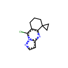 Clc1c2c(nc3ccnn13)C1(CCC2)CC1